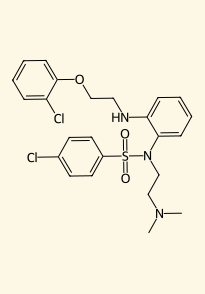 CN(C)CCN(c1ccccc1NCCOc1ccccc1Cl)S(=O)(=O)c1ccc(Cl)cc1